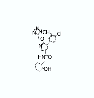 Cn1ncnc1COc1ncc(C(=O)NCC2CCCCC2O)cc1-c1ccc(Cl)cc1